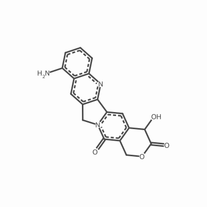 Nc1cccc2nc3c(cc12)Cn1c-3cc2c(c1=O)COC(=O)C2O